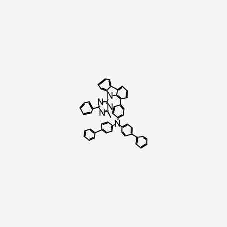 Cc1nc(-c2ccccc2)nc(-n2c3ccccc3c3cccc(-c4ccc(N(c5ccc(-c6ccccc6)cc5)c5ccc(-c6ccccc6)cc5)cc4)c32)n1